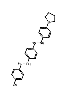 N#Cc1ccc(NNc2ccc(NNc3ccc(N4CCCC4)cc3)cc2)cc1